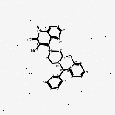 Cn1c(=O)c(C#N)c(N2CCN(C(c3ccccc3)c3ccccc3O)CC2)c2ncccc21